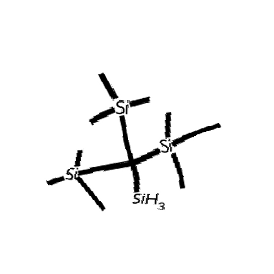 C[Si](C)(C)C([SiH3])([Si](C)(C)C)[Si](C)(C)C